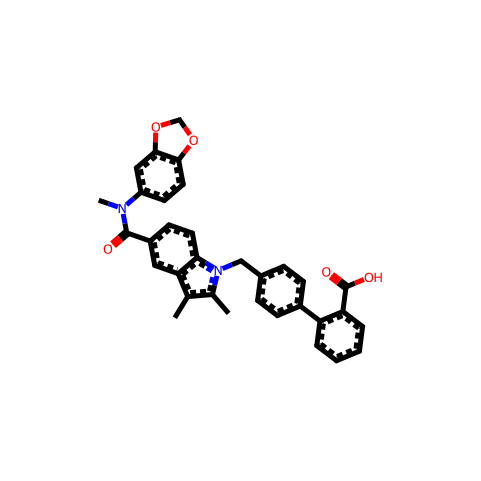 Cc1c(C)n(Cc2ccc(-c3ccccc3C(=O)O)cc2)c2ccc(C(=O)N(C)c3ccc4c(c3)OCO4)cc12